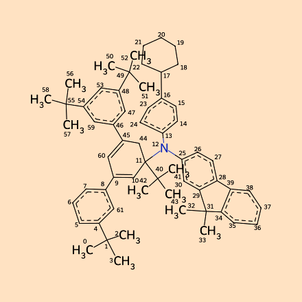 CC(C)(C)c1cccc(C2=CC(N(c3ccc(C4CCCCC4)cc3)c3ccc4c(c3)C(C)(C)c3ccccc3-4)(C(C)(C)C)CC(c3cc(C(C)(C)C)cc(C(C)(C)C)c3)=C2)c1